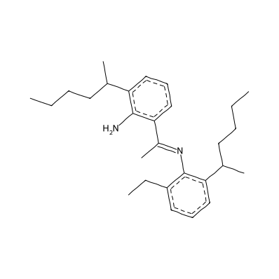 CCCCC(C)c1cccc(C(C)=Nc2c(CC)cccc2C(C)CCCC)c1N